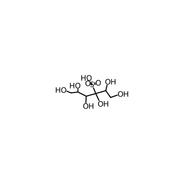 O=S(=O)(O)C(O)(C(O)CO)C(O)C(O)CO